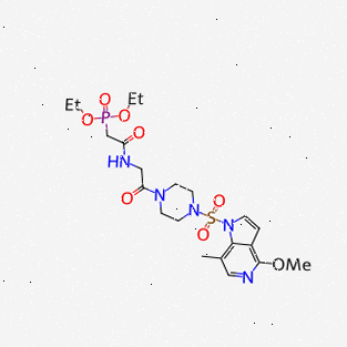 CCOP(=O)(CC(=O)NCC(=O)N1CCN(S(=O)(=O)n2ccc3c(OC)ncc(C)c32)CC1)OCC